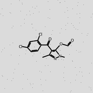 Cc1nn(C)c(O[C]=O)c1C(=O)c1ccc(Cl)cc1Cl